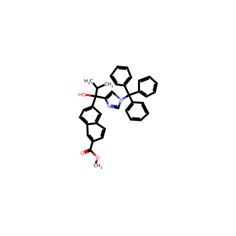 COC(=O)c1ccc2cc(C(O)(c3cn(C(c4ccccc4)(c4ccccc4)c4ccccc4)cn3)C(C)C)ccc2c1